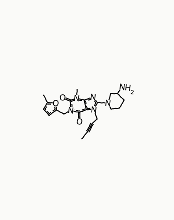 CC#CCn1c(N2CCCC(N)C2)nc2c1c(=O)n(Cc1ccc(C)o1)c(=O)n2C